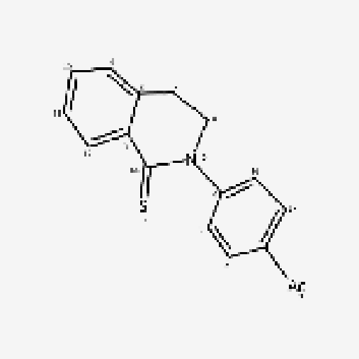 CC(=O)c1ccc(N2CCc3ccccc3C2=S)cc1